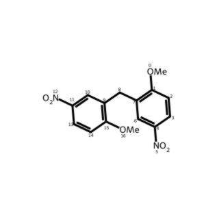 COc1ccc([N+](=O)[O-])cc1Cc1cc([N+](=O)[O-])ccc1OC